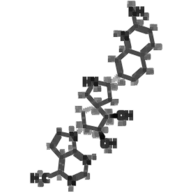 Cc1ncnc2c1ccn2[C@@H]1C[C@@]2(CN[C@H](c3ccc4ccc(N)nc4c3)C2)[C@@H](O)[C@H]1O